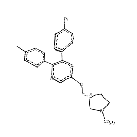 Cc1ccc(-c2ncc(OC[C@@H]3CCN(C(=O)O)C3)nc2-c2ccc(C#N)cc2)cc1